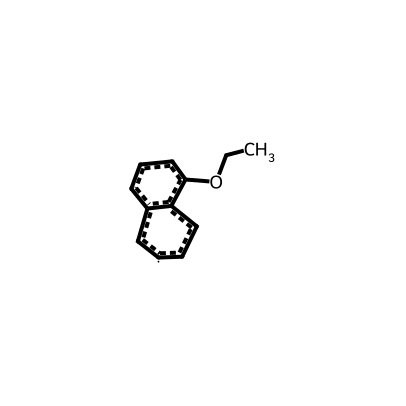 CCOc1cccc2c[c]ccc12